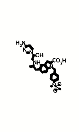 CC(Cc1ccc2c(c1)cc(C(=O)O)n2Cc1ccc(N(C)S(C)(=O)=O)cc1)NCC(O)N1C=CC(N)=NC1